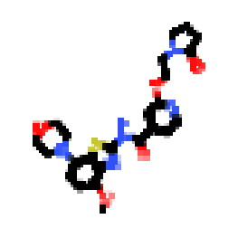 COc1ccc(N2CCOCC2)c2sc(NC(=O)c3ccnc(OCCN4CCCC4=O)c3)nc12